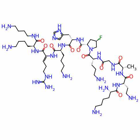 C[C@H](NC(=O)[C@H](CCN)NC(=O)[C@@H](N)CCCCN)C(=O)NCC(=O)N[C@H](CCCN)C(=O)N1C[C@H](F)C[C@H]1C(=O)N[C@@H](Cc1cnc[nH]1)C(=O)N[C@@H](CCCCN)C(=O)N/C(=C\CCNC(=N)N)C(=O)N[C@@H](CCCCN)C(=O)NCCCCN